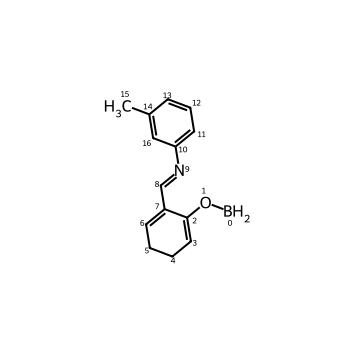 BOC1=CCCC=C1/C=N/c1cccc(C)c1